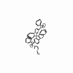 C=C(/C=C\C=C/C)P(=O)(c1ccccc1)c1ccc2c(c1)C1(C3=C2CCC=C3)c2ccccc2-c2ccc(P(=O)(c3ccccc3)c3ccccc3)cc21